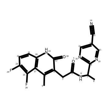 Cc1c(CC(=O)NC(C)c2ncc(C#N)cn2)c(=O)[nH]c2ccc(F)c(F)c12